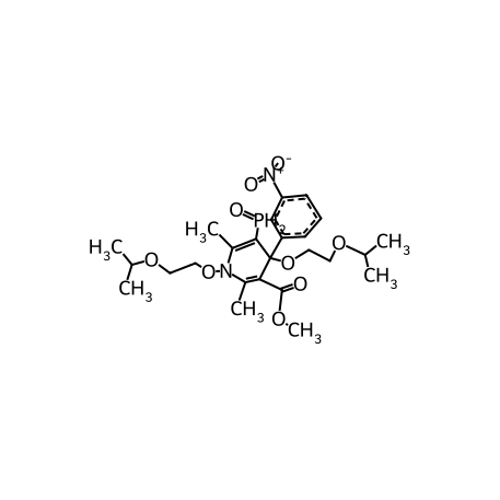 COC(=O)C1=C(C)N(OCCOC(C)C)C(C)=C([PH2]=O)C1(OCCOC(C)C)c1cccc([N+](=O)[O-])c1